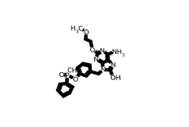 COCCOc1nc(N)c2nc(O)n(Cc3cccc(OP(C)(=O)c4ccccc4)c3)c2n1